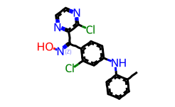 Cc1ccccc1Nc1ccc(/C(=N/O)c2nccnc2Cl)c(Cl)c1